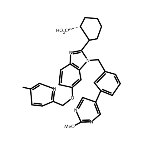 COc1ncc(-c2cccc(Cn3c(C4CCCC[C@H]4C(=O)O)nc4ccc(OCc5ccc(C)cn5)cc43)c2)cn1